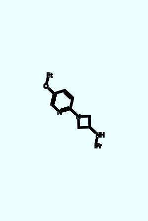 CCOc1ccc(N2CC(NC(C)C)C2)nc1